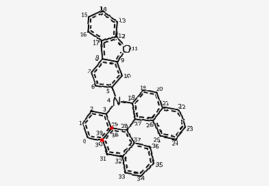 c1ccc(N(c2ccc3c(c2)oc2ccccc23)c2ccc3ccccc3c2-c2cccc3ccccc23)cc1